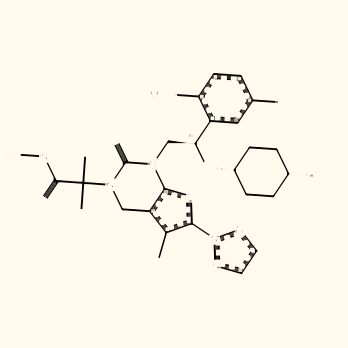 COc1ccc(F)cc1[C@H](CN1C(=O)N(C(C)(C)C(=O)NC(C)C)Cc2c1sc(-n1nccn1)c2C)O[C@H]1CC[C@@H](C(=O)O)CC1